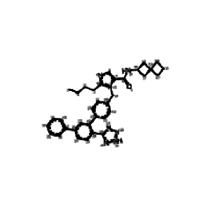 CCCCc1ncc(C(=O)NC2CC3(CCC3)C2)n1Cc1ccc(-c2cc(-c3ccccc3)ccc2-c2nn[nH]n2)cc1